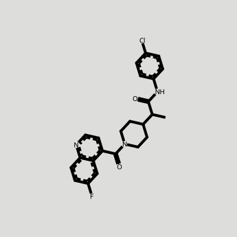 CC(C(=O)Nc1ccc(Cl)cc1)C1CCN(C(=O)c2ccnc3ccc(F)cc23)CC1